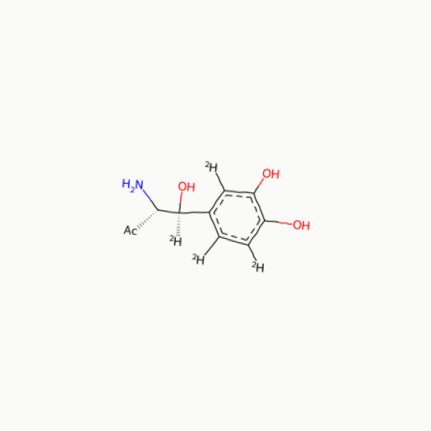 [2H]c1c([2H])c([C@]([2H])(O)[C@@H](N)C(C)=O)c([2H])c(O)c1O